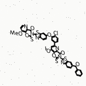 COc1ccnc2c(=O)n(-c3nc4ccc(Oc5cc(-c6cc(OI)c7oc(=S)n(-c8nc9ccc(C(=O)c%10ccccc%10)cc9s8)c(=O)c7n6)ccc5Cl)cc4s3)c(=S)oc12